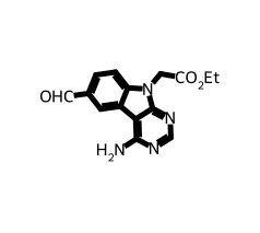 CCOC(=O)Cn1c2ccc(C=O)cc2c2c(N)ncnc21